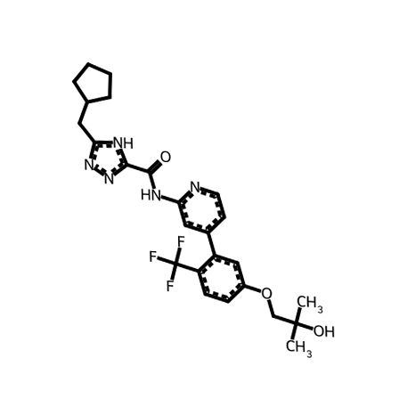 CC(C)(O)COc1ccc(C(F)(F)F)c(-c2ccnc(NC(=O)c3nnc(CC4CCCC4)[nH]3)c2)c1